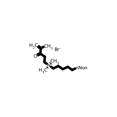 C=C(C)C(=O)CC[N+](C)(C)CCCCCCCCCCCCCC.[Br-]